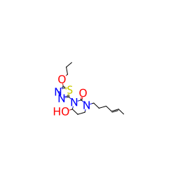 C/C=C/CCCN1CCC(O)N(c2nnc(OCCC)s2)C1=O